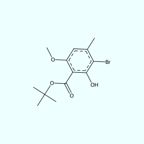 COc1cc(C)c(Br)c(O)c1C(=O)OC(C)(C)C